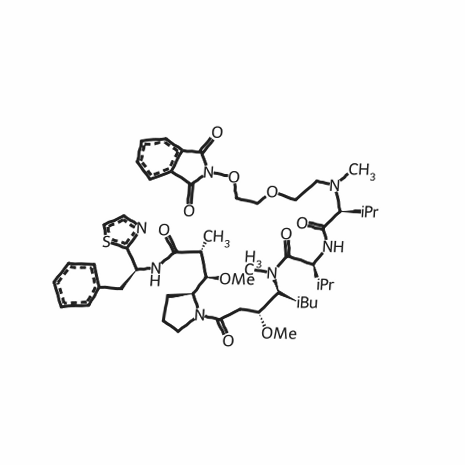 CC[C@H](C)[C@@H]([C@@H](CC(=O)N1CCC[C@H]1[C@H](OC)[C@@H](C)C(=O)N[C@@H](Cc1ccccc1)c1nccs1)OC)N(C)C(=O)[C@@H](NC(=O)[C@H](C(C)C)N(C)CCOCCON1C(=O)c2ccccc2C1=O)C(C)C